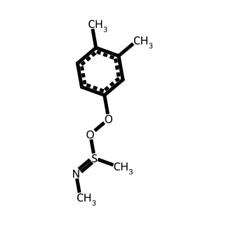 C/N=S(\C)OOc1ccc(C)c(C)c1